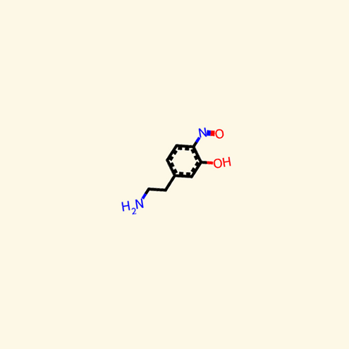 NCCc1ccc(N=O)c(O)c1